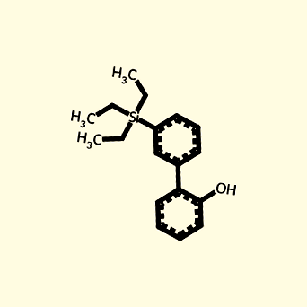 CC[Si](CC)(CC)c1cccc(-c2ccccc2O)c1